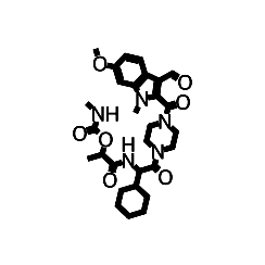 CNC(=O)OC(C)C(=O)NC(C(=O)N1CCN(C(=O)c2c(C=O)c3ccc(OC)cc3n2C)CC1)C1CCCCC1